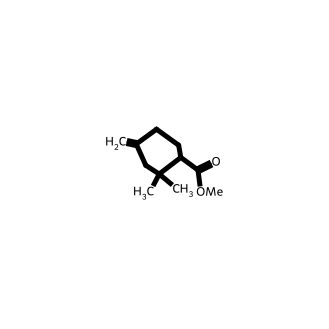 C=C1CCC(C(=O)OC)C(C)(C)C1